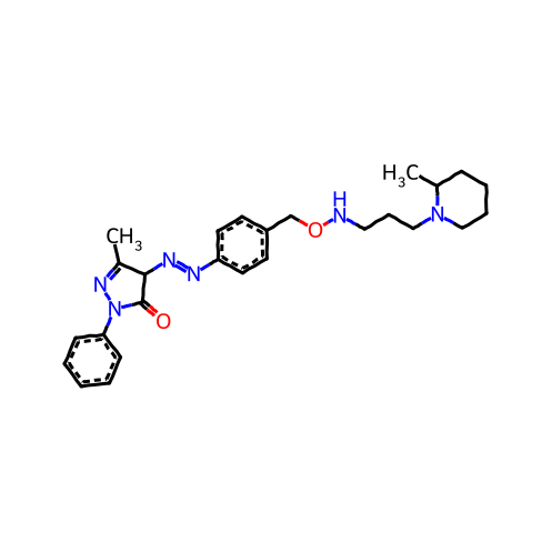 CC1=NN(c2ccccc2)C(=O)C1N=Nc1ccc(CONCCCN2CCCCC2C)cc1